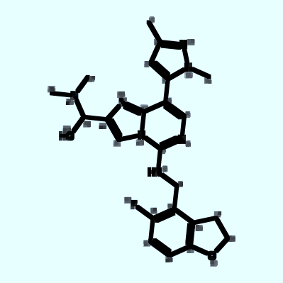 Cc1cc(-c2cnc(NCc3c(F)ccc4c3CCO4)n3cc(C(O)N(C)C)nc23)n(C)n1